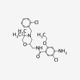 CCOc1cc(N)c(Cl)cc1C(=O)NCC1CN(Cc2ccccc2Cl)C(C)(C)CO1